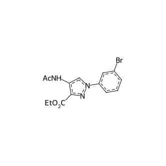 CCOC(=O)c1nn(-c2cccc(Br)c2)cc1NC(C)=O